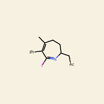 CC(=O)CC1CCC(C)=C(C(C)C)C(I)=N1